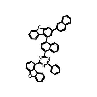 c1ccc(-c2nc(-c3ccc(-c4cc(-c5ccc6ccccc6c5)cc5oc6ccccc6c45)c4ccccc34)nc(-c3cccc4oc5ccccc5c34)n2)cc1